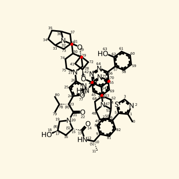 Cc1ncsc1-c1ccc([C@H](C)NC(=O)[C@@H]2C[C@@H](O)CN2C(=O)[C@@H](c2cc(N3CCC(CN4C5CCC4CC(O[C@H]4C[C@H](Oc6cc(N7C8CCC7CN(c7cc(-c9ccccc9O)nnc7N)C8)ccn6)C4)C5)CC3)no2)C(C)C)cc1